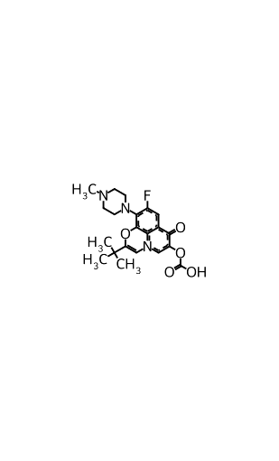 CN1CCN(c2c(F)cc3c(=O)c(OC(=O)O)cn4c3c2OC(C(C)(C)C)=C4)CC1